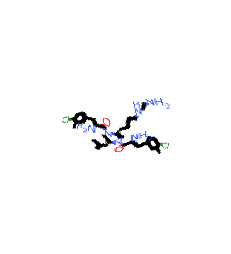 Cc1cc(CC(N)C(=O)N2C[C@H](CCCCNCCN)N(C(=O)C(N)Cc3ccc(Cl)c(C)c3)C[C@H]2CC(C)C)ccc1Cl